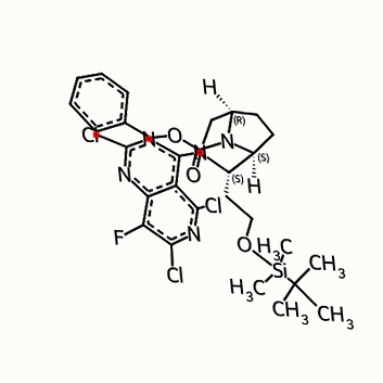 CC(C)(C)[Si](C)(C)OCC[C@H]1[C@@H]2CC[C@H](CN1c1nc(Cl)nc3c(F)c(Cl)nc(Cl)c13)N2C(=O)OCc1ccccc1